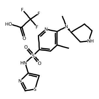 Cc1cc(S(=O)(=O)Nc2cscn2)cnc1N(C)[C@H]1CCNC1.O=C(O)C(F)(F)F